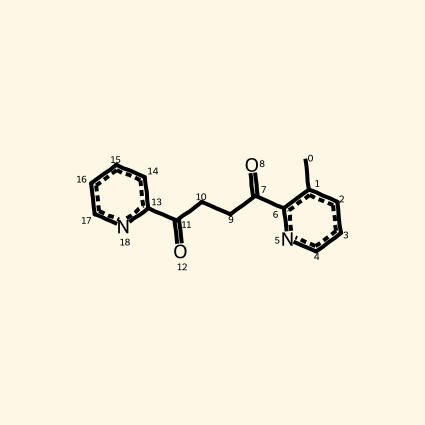 Cc1cccnc1C(=O)CCC(=O)c1ccccn1